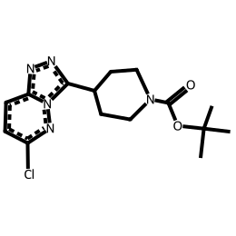 CC(C)(C)OC(=O)N1CCC(c2nnc3ccc(Cl)nn23)CC1